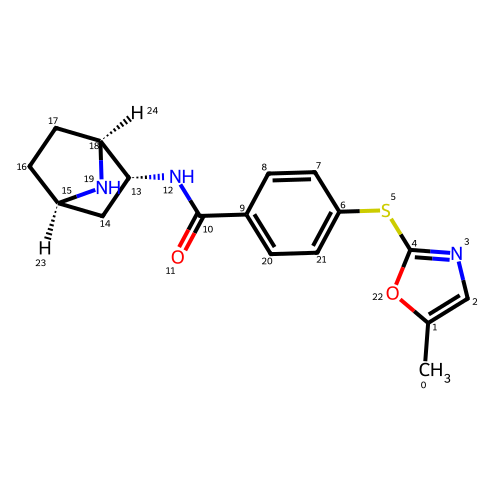 Cc1cnc(Sc2ccc(C(=O)N[C@@H]3C[C@H]4CC[C@@H]3N4)cc2)o1